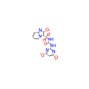 COc1cc(OC)nc(NC(=O)NS(=O)(=O)c2c(OC)nc3ccccn23)n1